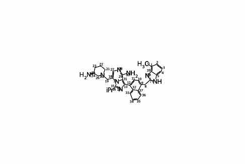 Cc1cccc2[nH]c(Cc3ccc(-c4nc(C(C)C)n5c(CN6CCC[C@H](N)C6)cnc(N)c45)c4ccccc34)nc12